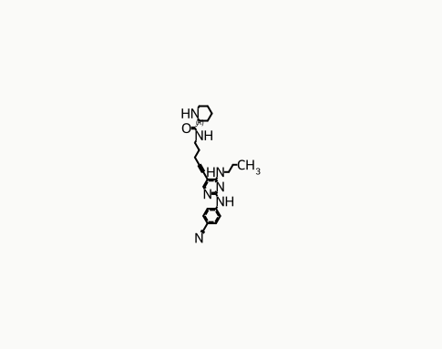 CCCNc1nc(Nc2ccc(C#N)cc2)ncc1C#CCCCNC(=O)[C@H]1CCCCN1